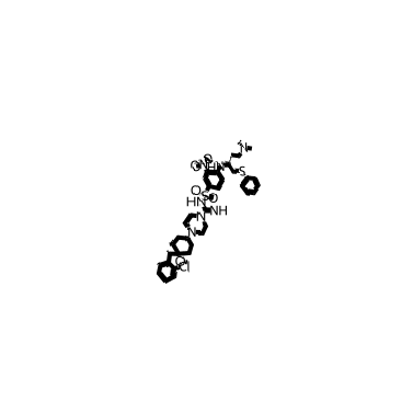 COC1(Cc2ccccc2Cl)CCC(N2CCN(C(=N)NS(=O)(=O)c3ccc(N[C@H](CCN(C)C)CSc4ccccc4)c([N+](=O)[O-])c3)CC2)CC1